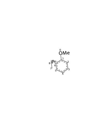 COc1cc[c]cc1.C[C](C)C